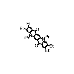 CCc1cc2c(=O)c3cc4c(cc3n(C(C)C)c2cc1CC)c(=O)c1cc(CC)c(CC)cc1n4C(C)C